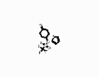 O=C1CCC(OS(=O)(=O)C(F)(F)F)CC1.c1ccsc1